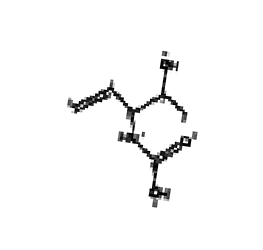 C=CC(NC(=O)O)C(C)O